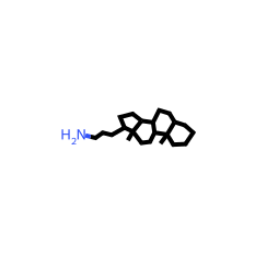 CC12CCCCC1CCC1C2CCC2(C)C(CCCN)CCC12